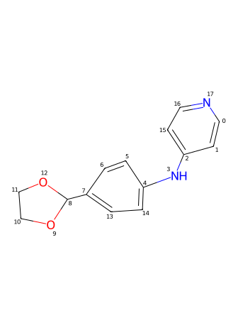 c1cc(Nc2ccc(C3OCCO3)cc2)ccn1